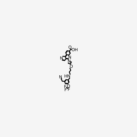 N#CCc1cc(CNCCCCOC2CN(c3nc4cc(C(=O)O)ccc4c4cnccc34)C2)cc(OC(F)(F)F)c1